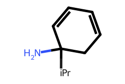 CC(C)C1(N)C=CC=CC1